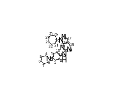 c1cc(N2CCCCC2)ccc1Nc1ncc2cnn(C3CCCCCC3)c2n1